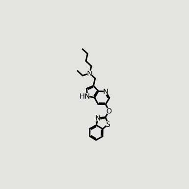 CCCCN(CC)Cc1c[nH]c2cc(Oc3nc4ccccc4s3)cnc12